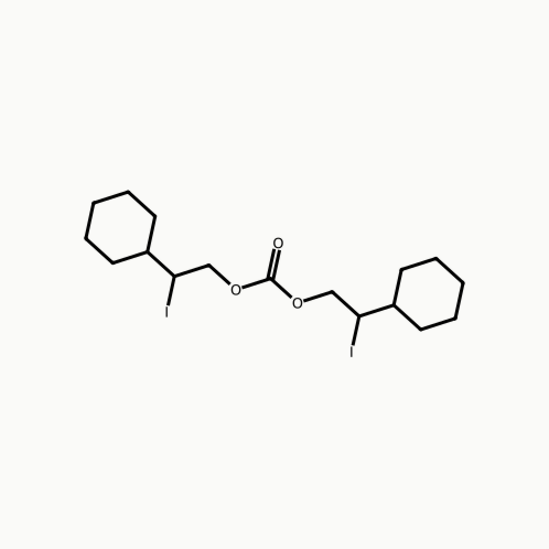 O=C(OCC(I)C1CCCCC1)OCC(I)C1CCCCC1